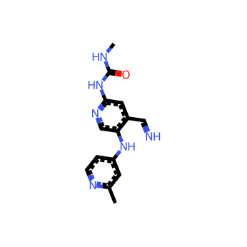 CNC(=O)Nc1cc(C=N)c(Nc2ccnc(C)c2)cn1